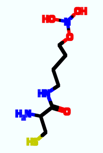 NC(CS)C(=O)NCCCCON(O)O